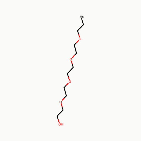 CC(=O)CCOCCOCCOCCOCCO